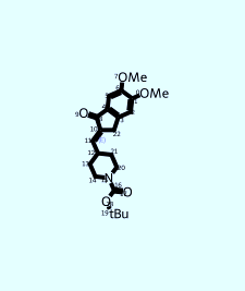 COc1cc2c(cc1OC)C(=O)/C(=C/C1CCN(C(=O)OC(C)(C)C)CC1)C2